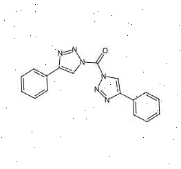 O=C(n1cc(-c2ccccc2)nn1)n1cc(-c2ccccc2)nn1